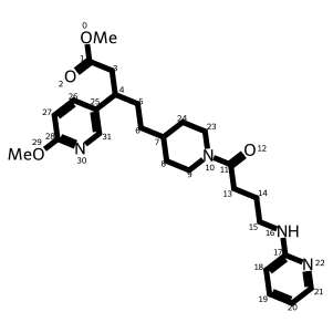 COC(=O)CC(CCC1CCN(C(=O)CCCNc2ccccn2)CC1)c1ccc(OC)nc1